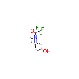 CC(Cc1ccc(O)cc1)NC(=O)C(F)(F)F